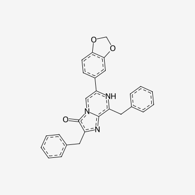 O=c1c(Cc2ccccc2)nc2c(Cc3ccccc3)[nH]c(-c3ccc4c(c3)OCO4)cn1-2